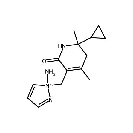 CC1=C(C[N+]2(N)C=CC=N2)C(=O)NC(C)(C2CC2)C1